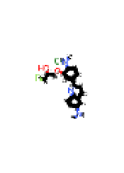 CN(C)c1ccc2nc(-c3ccc(N(C)Cl)c(OCC(O)CF)c3)ccc2c1